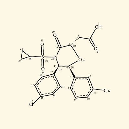 O=C(O)C[C@@H]1O[C@@H](c2cccc(Cl)c2)[C@@H](c2ccc(Cl)cc2)N(S(=O)(=O)C2CC2)C1=O